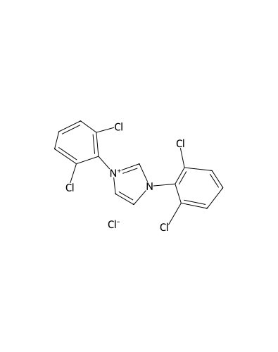 Clc1cccc(Cl)c1-n1cc[n+](-c2c(Cl)cccc2Cl)c1.[Cl-]